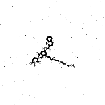 NCOCCOCCOCCNc1cc(NC(=O)c2ccc3ccccc3n2)cc2c1CN(C1CCC(=O)NC1=O)C2=O